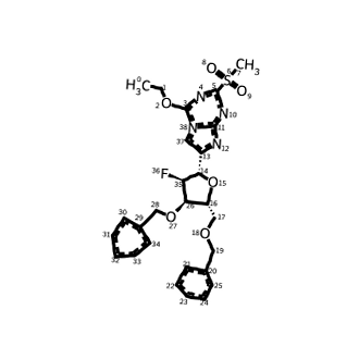 CCOc1nc(S(C)(=O)=O)nc2nc([C@@H]3O[C@H](COCc4ccccc4)[C@@H](OCc4ccccc4)[C@H]3F)cn12